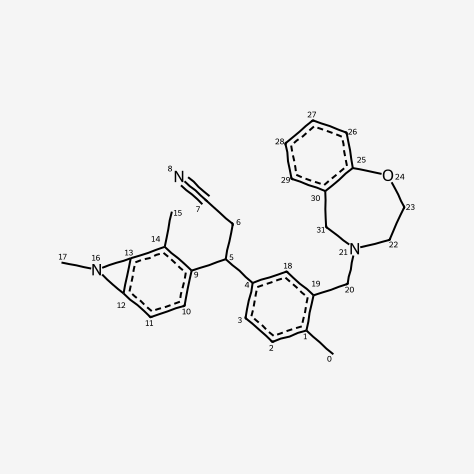 Cc1ccc(C(CC#N)c2ccc3c(c2C)N3C)cc1CN1CCOc2ccccc2C1